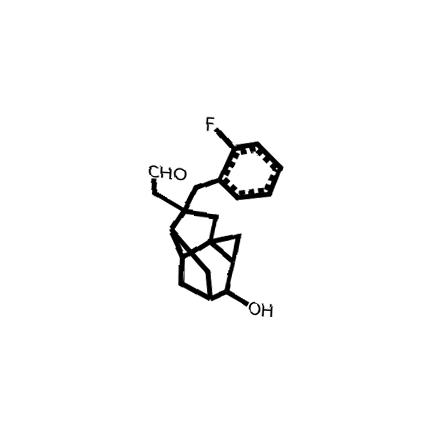 O=CCC1(Cc2ccccc2F)CC23CC2C(O)C2CC1C3C2